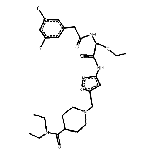 CCCC(NC(=O)Cc1cc(F)cc(F)c1)C(=O)Nc1cc(CN2CCC(C(=O)N(CC)CC)CC2)on1